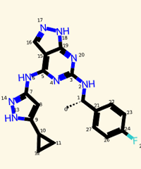 C[C@H](Nc1nc(Nc2cc(C3CC3)[nH]n2)c2cn[nH]c2n1)c1ccc(F)cc1